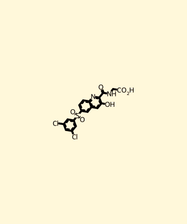 O=C(O)CNC(=O)c1nc2ccc(S(=O)(=O)c3cc(Cl)cc(Cl)c3)cc2cc1O